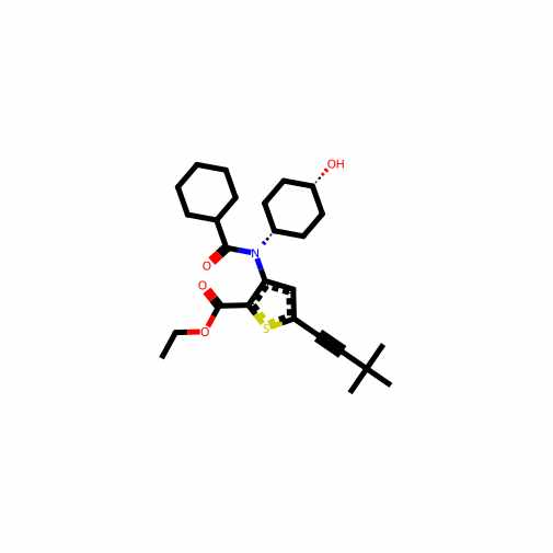 CCOC(=O)c1sc(C#CC(C)(C)C)cc1N(C(=O)C1CCCCC1)[C@H]1CC[C@@H](O)CC1